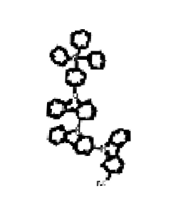 N#Cc1ccc2c3ccccc3n(-c3ccc4c5ccccc5n(-c5cccc6c5c5ccccc5n6-c5ccc([Si](c6ccccc6)(c6ccccc6)c6ccccc6)cc5)c4c3)c2c1